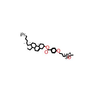 CC(C)CCC[C@@H](C)[C@H]1CCC2C3CC=C4CC(OC(=O)c5ccc(OCCC[Si](C)(C)O[SiH](C)C)cc5)CC[C@]4(C)C3CC[C@@]21C